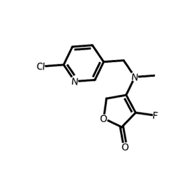 CN(Cc1ccc(Cl)nc1)C1=C(F)C(=O)OC1